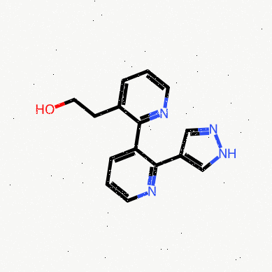 OCCc1cccnc1-c1cccnc1-c1cn[nH]c1